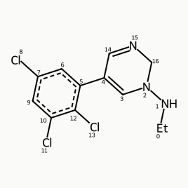 CCNN1C=C(c2cc(Cl)cc(Cl)c2Cl)C=NC1